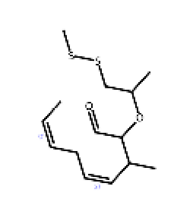 C/C=C\C/C=C\C(C)C(C=O)OC(C)CSSC